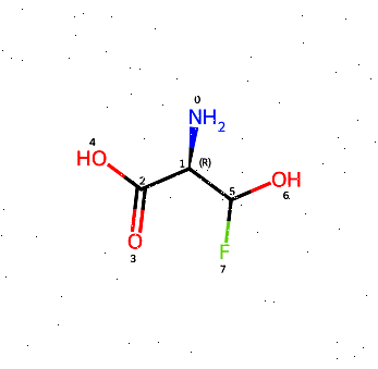 N[C@H](C(=O)O)C(O)F